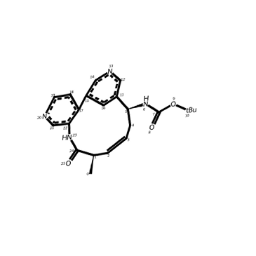 C[C@@H]1C=CC[C@H](NC(=O)OC(C)(C)C)c2cncc(c2)-c2ccncc2NC1=O